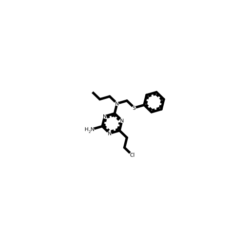 CCCN(CSc1ccccc1)c1nc(N)nc(CCCl)n1